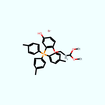 CCOC(OCC)[SiH2]COc1ccc(O)cc1[P+](c1ccc(C)cc1)(c1ccc(C)cc1)c1ccc(C)cc1.[Br-]